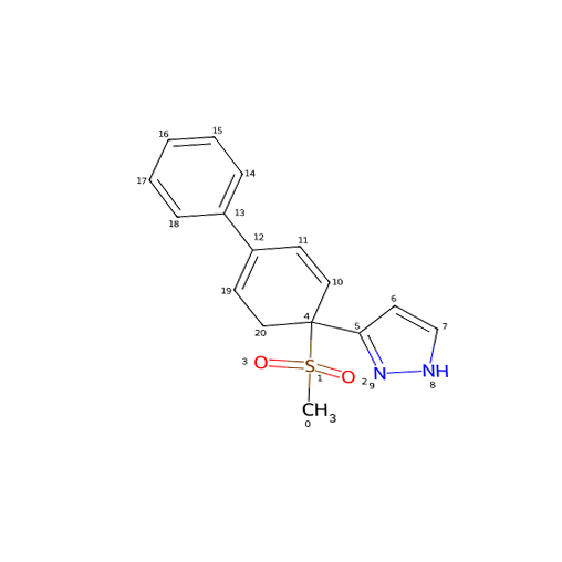 CS(=O)(=O)C1(c2cc[nH]n2)C=CC(c2ccccc2)=CC1